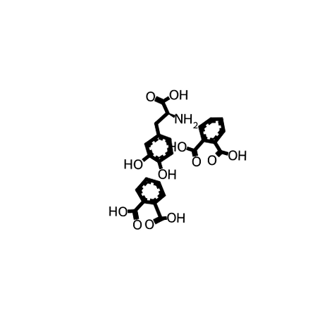 N[C@@H](Cc1ccc(O)c(O)c1)C(=O)O.O=C(O)c1ccccc1C(=O)O.O=C(O)c1ccccc1C(=O)O